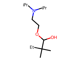 CCC(C)(C)C(O)OCCN(C(C)C)C(C)C